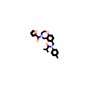 Cc1ccc(N(Cc2ccc3c(c2)CN(C(=O)c2ccco2)CCO3)C(=O)C(C)C)cc1